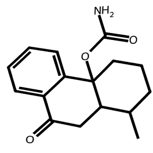 CC1CCCC2(OC(N)=O)c3ccccc3C(=O)CC12